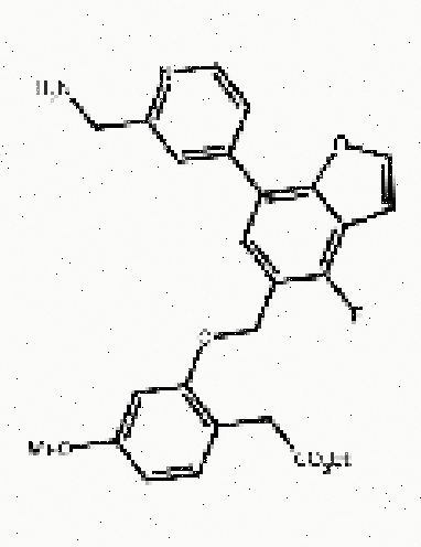 CCOC(=O)Cc1ccc(OC)cc1OCc1cc(-c2ccnc(CN)c2)c2occc2c1F